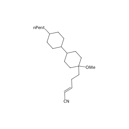 CCCCCC1CCC(C2CCC(CCC=CC#N)(OC)CC2)CC1